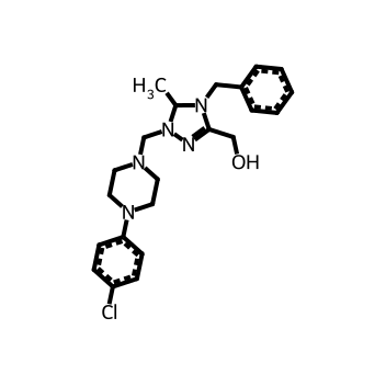 CC1N(CN2CCN(c3ccc(Cl)cc3)CC2)N=C(CO)N1Cc1ccccc1